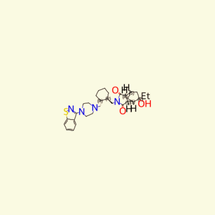 CC[C@@]1(O)C[C@@H]2C[C@H]1[C@@H]1C(=O)N(C[C@@H]3CCCC[C@H]3CN3CCN(c4nsc5ccccc45)CC3)C(=O)[C@H]21